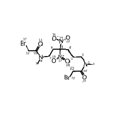 CN(CCCC(CCN(C)C(=O)CBr)([N+](=O)[O-])[N+](=O)[O-])C(=O)CBr